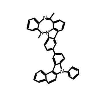 Cc1nc2ccccc2n(C)n2c3ccc(-c4ccc5c(c4)c4c6ccccc6ccc4n5-c4ccccc4)cc3c3cccc1c32